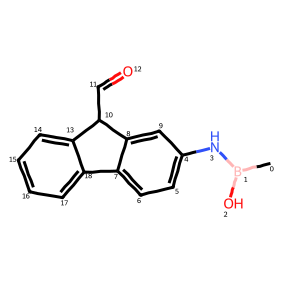 CB(O)Nc1ccc2c(c1)C(C=O)c1ccccc1-2